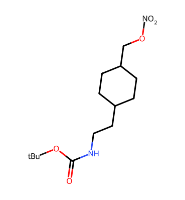 CC(C)(C)OC(=O)NCCC1CCC(CO[N+](=O)[O-])CC1